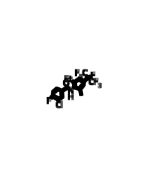 CCc1cc(C(F)(C(F)(F)F)C(F)(F)F)cc(C)c1NC(=O)c1ccc(F)c(Cl)c1